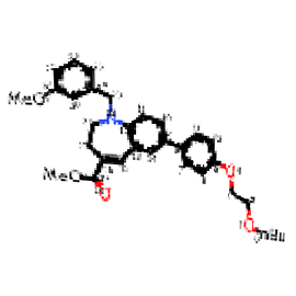 CCCCOCCOc1ccc(-c2ccc3c(c2)C=C(C(=O)OC)CCN3Cc2cccc(OC)c2)cc1